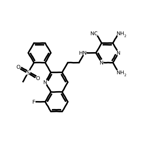 CS(=O)(=O)c1ccccc1-c1nc2c(F)cccc2cc1CCNc1nc(N)nc(N)c1C#N